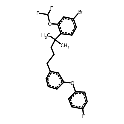 CC(C)(CCCc1cccc(Oc2ccc(F)cc2)c1)c1ccc(Br)cc1OC(F)F